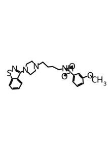 COc1cccc(S(=O)(=O)NCCCCN2CCN(c3nsc4ccccc34)CC2)c1